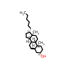 CCCCCC[C@H]1CC[C@H]2[C@@H]3CC=C4C[C@@H](O)CC[C@]4(C)[C@H]3CC[C@]12C